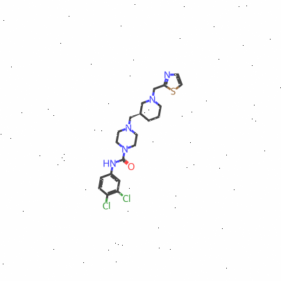 O=C(Nc1ccc(Cl)c(Cl)c1)N1CCN(C[C@@H]2CCCN(Cc3nccs3)C2)CC1